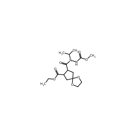 CCOC(=O)C1CC2(CC1C(=O)N(NC(=O)OC)C(C)C)OCCO2